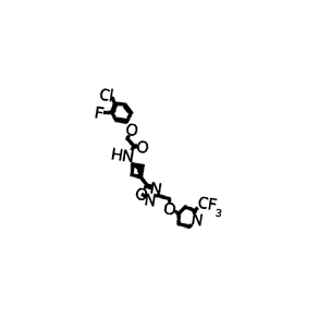 O=C(COc1ccc(Cl)c(F)c1)NC12CC(c3nc(COC4CCN=C(C(F)(F)F)C4)no3)(C1)C2